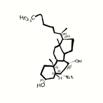 CC[C@H]1[C@@H](O)C2C3CC[C@H]([C@H](C)CCCCC(=O)O)C3(C)CCC2[C@@]2(C)CC[C@@H](O)C[C@@H]12